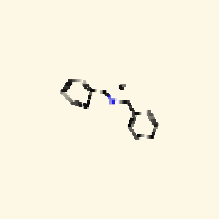 [K+].c1ccc(C[N-]Cc2ccccc2)cc1